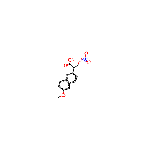 COc1ccc2cc(C(CO[N+](=O)[O-])C(=O)O)ccc2c1